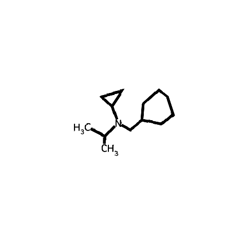 CC(C)N(CC1CCCCC1)C1CC1